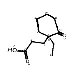 CC[C@@]1(CCC(=O)O)CCCCC1=O